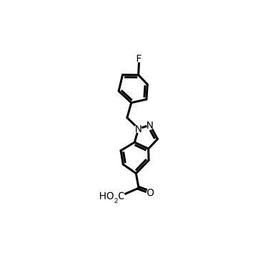 O=C(O)C(=O)c1ccc2c(cnn2Cc2ccc(F)cc2)c1